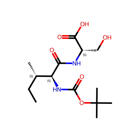 CC[C@H](C)[C@H](NC(=O)OC(C)(C)C)C(=O)N[C@@H](CO)C(=O)O